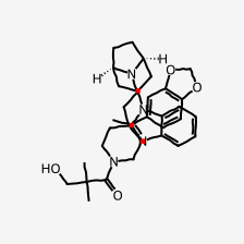 Cc1nc2ccccc2n1C1C[C@H]2CC[C@@H](C1)N2CCC1(c2ccc3c(c2)OCO3)CCN(C(=O)C(C)(C)CO)CC1